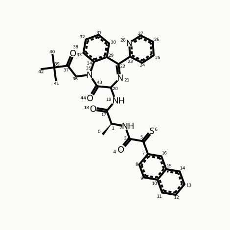 C[C@H](NC(=O)C(=S)c1ccc2ccccc2c1)C(=O)NC1N=C(c2ccccn2)c2ccccc2N(CC(=O)C(C)(C)C)C1=O